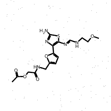 COCCNC=Nc1sc(N)nc1-c1ccc(CNC(=O)COC(C)=O)o1